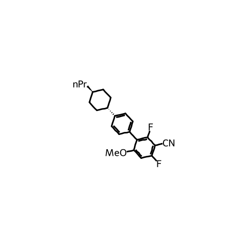 CCC[C@H]1CC[C@H](c2ccc(-c3c(OC)cc(F)c(C#N)c3F)cc2)CC1